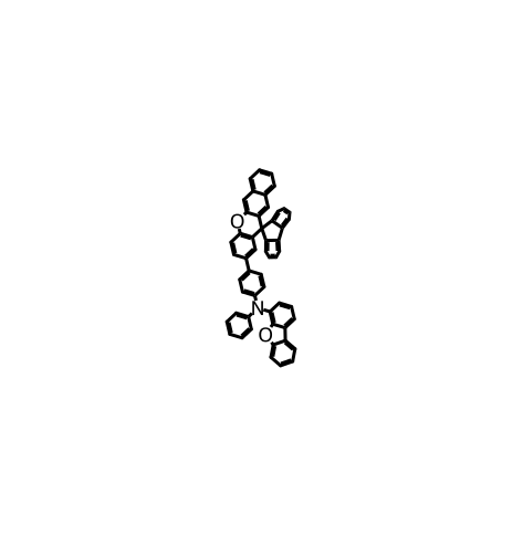 c1ccc(N(c2ccc(-c3ccc4c(c3)C3(c5cc6ccccc6cc5O4)c4ccccc4-c4ccccc43)cc2)c2cccc3c2oc2ccccc23)cc1